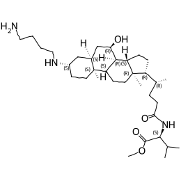 COC(=O)[C@@H](NC(=O)CC[C@@H](C)[C@H]1CC[C@H]2[C@@H]3[C@H](O)C[C@@H]4C[C@@H](NCCCCN)CC[C@]4(C)[C@H]3CC[C@]12C)C(C)C